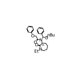 CCCCOC(c1ccccc1)N(C(=O)COc1ccccc1)[C@H]1CCCCN(CC)C1=O